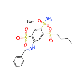 CCCCS(=O)(=O)c1cc(NCc2ccccc2)c(S(=O)(=O)[O-])cc1S(N)(=O)=O.[Na+]